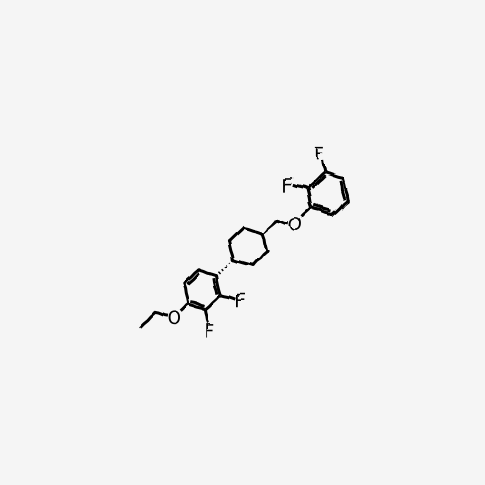 CCOc1ccc([C@H]2CC[C@H](COc3cccc(F)c3F)CC2)c(F)c1F